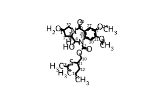 C=C1C[C@H]2C(O)N(C(=O)OCC(CCC)SC(C)C)c3cc(OC)c(OC)cc3C(=O)N2C1